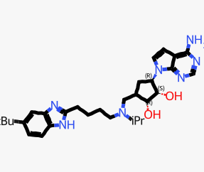 CC(C)N(CCCCc1nc2cc(C(C)(C)C)ccc2[nH]1)CC1C[C@@H](n2ccc3c(N)ncnc32)[C@H](O)[C@@H]1O